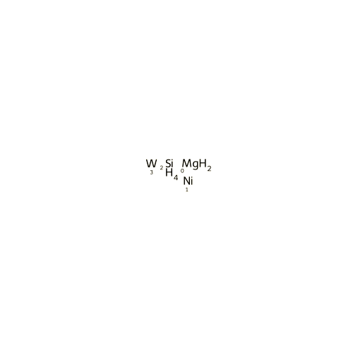 [MgH2].[Ni].[SiH4].[W]